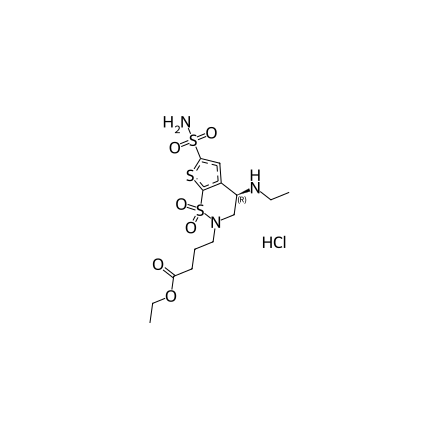 CCN[C@H]1CN(CCCC(=O)OCC)S(=O)(=O)c2sc(S(N)(=O)=O)cc21.Cl